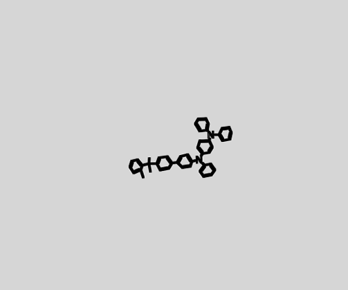 Cc1ccccc1C(C)(C)c1ccc(-c2ccc(N(c3ccccc3)c3ccc(N(c4ccccc4)c4ccccc4)cc3)cc2)cc1